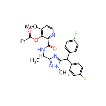 COc1ccnc(C(=O)N[C@@H](C)c2nc(C(c3ccc(F)cc3)c3ccc(F)cc3)n(C)n2)c1OC(=O)C(C)C